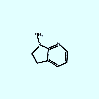 NN1CCc2cccnc21